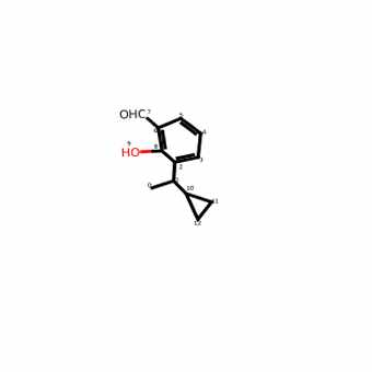 CC(c1cccc(C=O)c1O)C1CC1